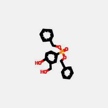 O=P(OCc1ccccc1)(OCc1ccccc1)c1ccc(O)c(CO)c1